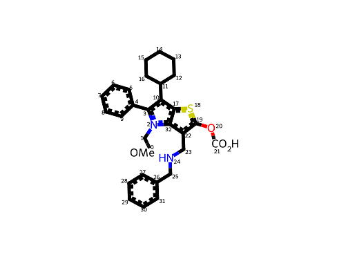 COCn1c(-c2ccccc2)c(C2CCCCC2)c2sc(OC(=O)O)c(CNCc3ccccc3)c21